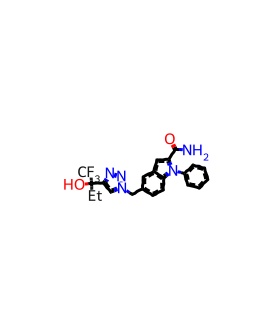 CCC(O)(c1cn(Cc2ccc3c(c2)cc(C(N)=O)n3-c2ccccc2)nn1)C(F)(F)F